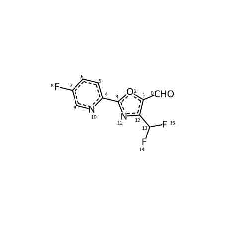 O=Cc1oc(-c2ccc(F)cn2)nc1C(F)F